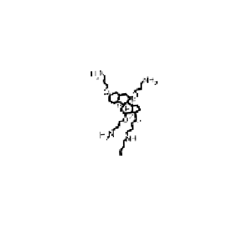 CCCCNCCC[C@@H](C)C1CC[C@H]2C3[C@H](OCCCN)CC4C[C@H](OCCCN)CC[C@]4(C)[C@H]3CC(OCCCN)[C@]12C